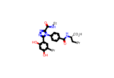 CCNC(=O)c1nnc(-c2cc(C(C)C)c(O)cc2O)n1-c1ccc(C(=O)N[C@@H](CC(C)C)C(=O)O)cc1